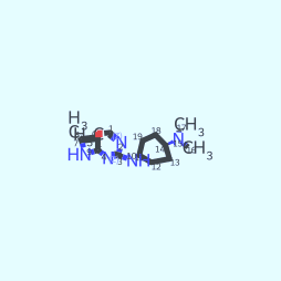 C/C=N\C(=N/C1C=C(C)N1)N[C@H]1CC[C@H](N(C)C)CC1